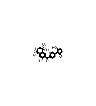 Cc1cc2c(cc1C(=O)c1ccc(C3=C(O)CCC3=O)cn1)C(C)(C)CCC2(C)C